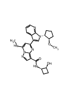 CNc1cc(-c2cn([C@@H]3CCC[C@H]3OC)c3ncccc23)nc2c(C(=O)N[C@@H]3CC[C@@H]3O)cnn12